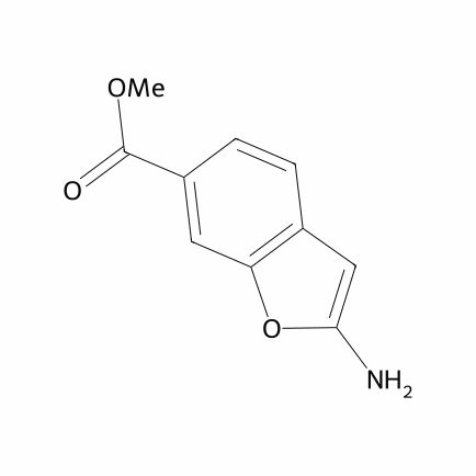 COC(=O)c1ccc2cc(N)oc2c1